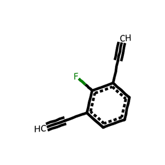 C#Cc1cccc(C#C)c1F